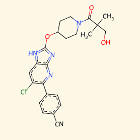 CC(C)(CO)C(=O)N1CCC(Oc2nc3nc(-c4ccc(C#N)cc4)c(Cl)cc3[nH]2)CC1